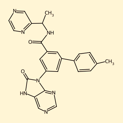 Cc1ccc(-c2cc(C(=O)NC(C)c3cnccn3)cc(-n3c(=O)[nH]c4cncnc43)c2)cc1